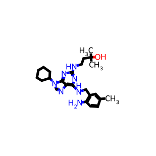 Cc1ccc(N)c(CNc2nc(NCCC(C)(C)O)nc3c2ncn3C2CCCCC2)c1